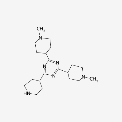 CN1CCC(c2nc(C3CCNCC3)nc(C3CCN(C)CC3)n2)CC1